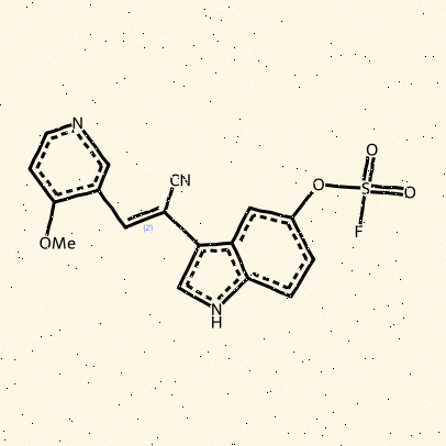 COc1ccncc1/C=C(\C#N)c1c[nH]c2ccc(OS(=O)(=O)F)cc12